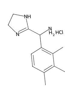 Cc1ccc(C(N)C2=NCCN2)c(C)c1C.Cl